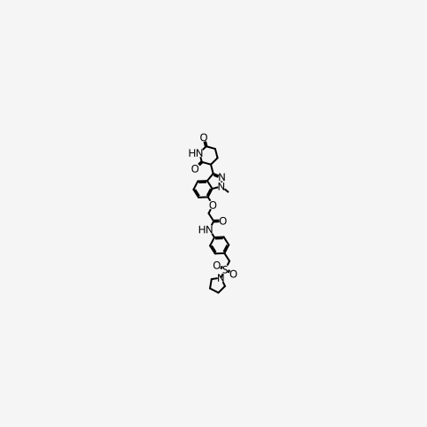 Cn1nc(C2CCC(=O)NC2=O)c2cccc(OCC(=O)Nc3ccc(CS(=O)(=O)N4CCCC4)cc3)c21